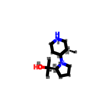 C[C@H]1CNCCC1N1CCC[C@H]1C(C)(C)O